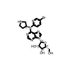 OC[C@H]1O[C@@H](n2cnc3c(N(c4ccc(Br)cn4)[C@H]4CCNC4)ncnc32)[C@@H](O)[C@H]1O